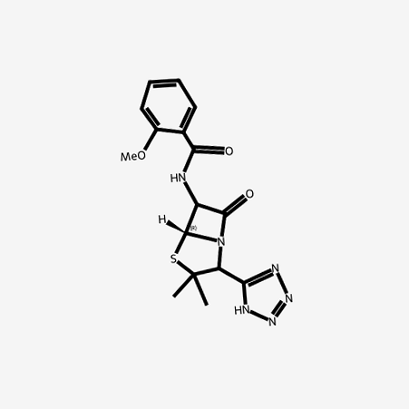 COc1ccccc1C(=O)NC1C(=O)N2C(c3nnn[nH]3)C(C)(C)S[C@H]12